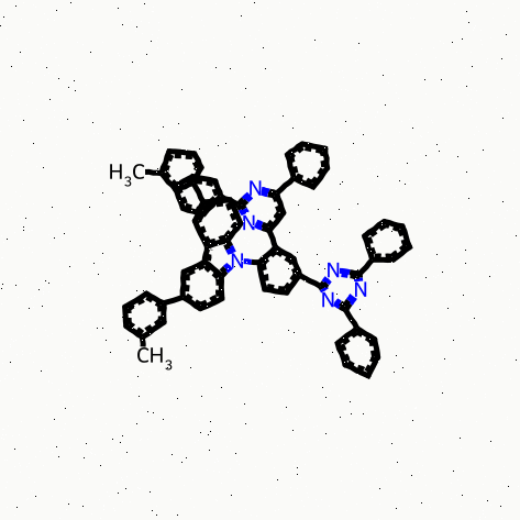 Cc1cccc(-c2ccc3c(c2)c2cc(-c4cccc(C)c4)ccc2n3-c2ccc(-c3nc(-c4ccccc4)nc(-c4ccccc4)n3)cc2-c2cc(-c3ccccc3)nc(-c3ccccc3)n2)c1